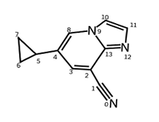 N#Cc1cc(C2CC2)cn2ccnc12